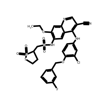 CCOc1cc2ncc(C#N)c(Nc3ccc(OCc4cccc(F)c4)c(Cl)c3)c2cc1NS(=O)(=O)CC1CCSS1(=O)=O